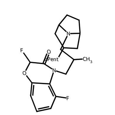 CCCCCC1CC2CCC(C1)N2CC(C)CN1C(=O)C(F)Oc2cccc(F)c21